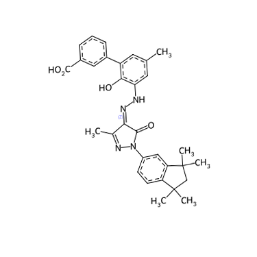 CC1=NN(c2ccc3c(c2)C(C)(C)CC3(C)C)C(=O)/C1=N\Nc1cc(C)cc(-c2cccc(C(=O)O)c2)c1O